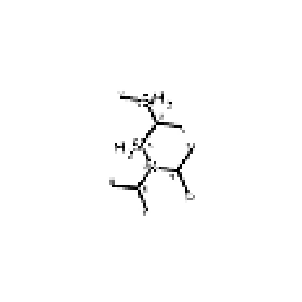 C[SiH2]C(C)[SiH2]N(C(C)C)C(C)C